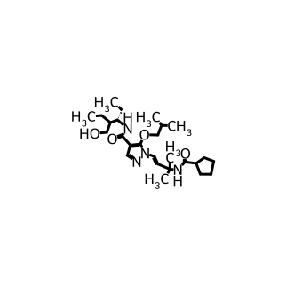 CCC(CO)[C@H](CC)NC(=O)c1cnn(/C=C/C(C)(C)NC(=O)C2CCCC2)c1OCC(C)C